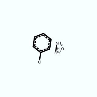 CCCN.Clc1ccccc1.O